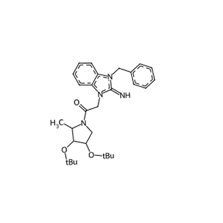 CC1C(OC(C)(C)C)C(OC(C)(C)C)CN1C(=O)Cn1c(=N)n(Cc2ccccc2)c2ccccc21